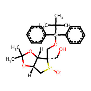 CC1(C)O[C@H]2C[S@@+]([O-])[C@](CO)(CO[Si](c3ccccc3)(c3ccccc3)C(C)(C)C)[C@H]2O1